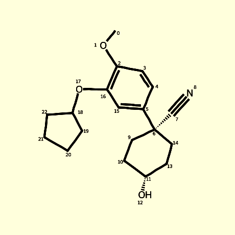 COc1ccc([C@]2(C#N)CC[C@@H](O)CC2)cc1OC1CCCC1